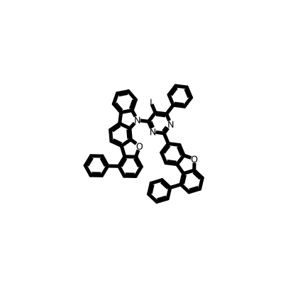 Ic1c(-c2ccccc2)nc(-c2ccc3c(c2)oc2cccc(-c4ccccc4)c23)nc1-n1c2ccccc2c2ccc3c(oc4cccc(-c5ccccc5)c43)c21